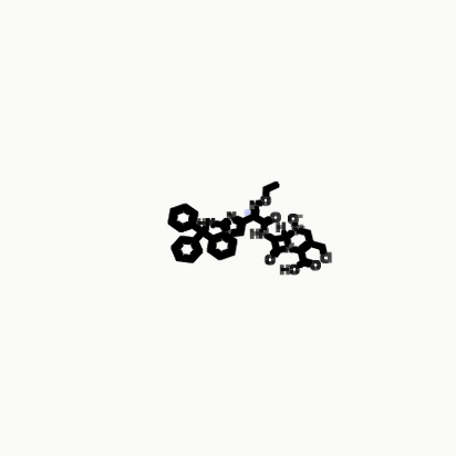 CCO/N=C(\C(=O)NC1C(=O)N2C(C(=O)O)=C(CCl)C[S+]([O-])[C@@H]12)c1csc(NC(c2ccccc2)(c2ccccc2)c2ccccc2)n1